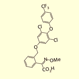 CON=C(C(=O)O)c1ccccc1COc1cc(Cl)c(Oc2ccc(C(F)(F)F)cc2)c(Cl)c1